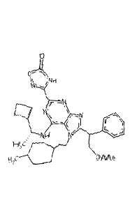 COCC(c1ccccc1)c1nc2nc(-c3noc(=O)[nH]3)nc(N[C@H](C)C3CCC3)c2n1CC1CCC(C)CC1